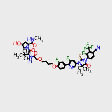 CNC(=O)[C@@H]1C[C@@H](O)CN1C(=O)[C@@H](NC(=O)COCCCCOc1ccc(-c2ncc(N3C(=S)N(c4ccc(C#N)c(C(F)(F)F)c4F)C(=O)C3(C)C)cc2F)cc1F)C(C)(C)C